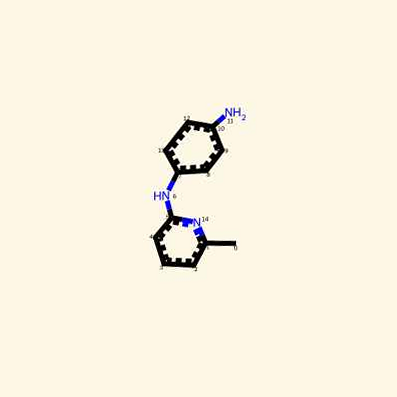 Cc1cccc(Nc2ccc(N)cc2)n1